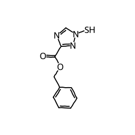 O=C(OCc1ccccc1)c1ncn(S)n1